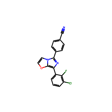 N#Cc1ccc(-c2nc(-c3cccc(Cl)c3F)c3occn23)cc1